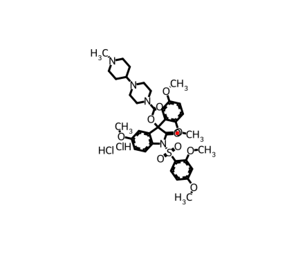 COc1ccc(S(=O)(=O)N2C(=O)C(OC(=O)N3CCN(C4CCN(C)CC4)CC3)(c3cc(OC)ccc3OC)c3cc(OC)ccc32)c(OC)c1.Cl.Cl